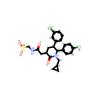 O=C(CC1CC(c2cccc(Cl)c2)C(c2ccc(Cl)cc2)N(CC2CC2)C1=O)NC[SH](=O)=O